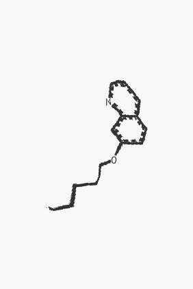 [CH2]CCCCOc1ccc2cccnc2c1